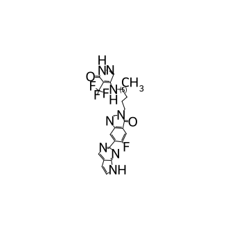 C[C@@H](CCCn1cnc2cc(-c3ncc4cc[nH]c4n3)c(F)cc2c1=O)Nc1cn[nH]c(=O)c1C(F)(F)F